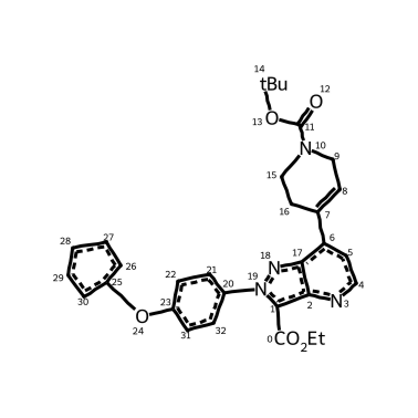 CCOC(=O)c1c2nccc(C3=CCN(C(=O)OC(C)(C)C)CC3)c2nn1-c1ccc(Oc2ccccc2)cc1